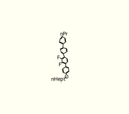 CCCCCCCOc1ccc(-c2ccc(-c3ccc(-c4ccc(CCC)cc4)cc3)c(F)c2F)cc1